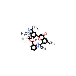 Cc1cc(C(C)Nc2ccccc2C(=O)OC(C)(C)C)c2oc(-c3ccc4c(c3)c(C)nn4C)cc(=O)c2c1